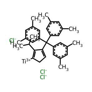 Cc1cc(C)cc(C(C2=CC[C]([Ti+3])=C2C(C)C)(c2cc(C)cc(C)c2)c2cc(C)cc(C)c2)c1.[Cl-].[Cl-].[Cl-]